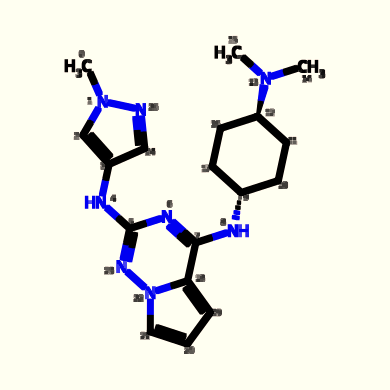 Cn1cc(Nc2nc(N[C@H]3CC[C@H](N(C)C)CC3)c3cccn3n2)cn1